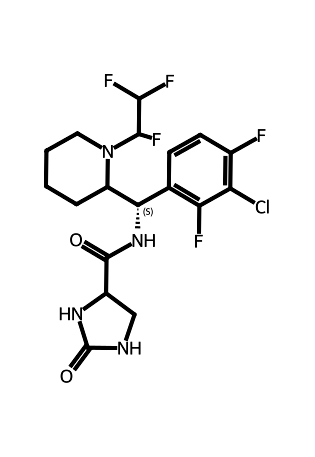 O=C1NCC(C(=O)N[C@@H](c2ccc(F)c(Cl)c2F)C2CCCCN2C(F)C(F)F)N1